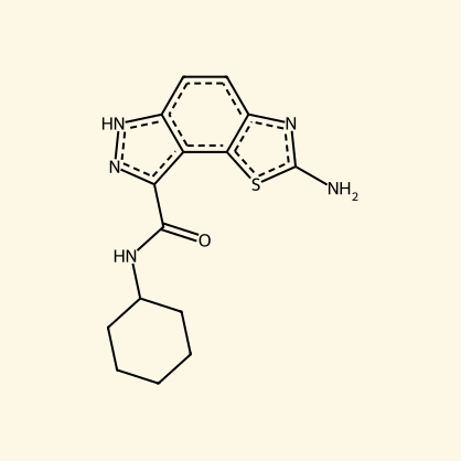 Nc1nc2ccc3[nH]nc(C(=O)NC4CCCCC4)c3c2s1